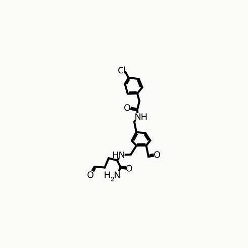 NC(=O)C(CCC=O)NCc1cc(CNC(=O)Cc2ccc(Cl)cc2)ccc1C=O